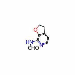 O=CNc1nccc2c1OCC2